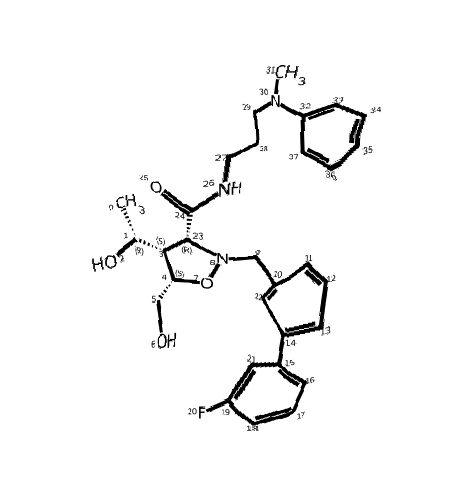 C[C@@H](O)[C@H]1[C@@H](CO)ON(Cc2cccc(-c3cccc(F)c3)c2)[C@H]1C(=O)NCCCN(C)c1ccccc1